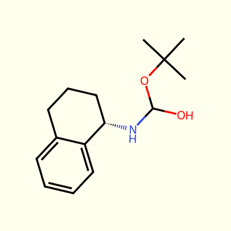 CC(C)(C)OC(O)N[C@H]1CCCc2ccccc21